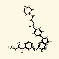 C=CC(=O)Nc1cccc(Oc2cnc3[nH]cc(-c4ccc(NCCCN5CCOCC5)cc4)c3n2)c1